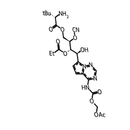 CCC(=O)O[C@H]([C@@H](COC(=O)[C@@H](N)C(C)(C)C)OC#N)[C@@H](O)c1ccc2c(NC(=O)OCOC(C)=O)ncnn12